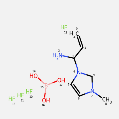 C=CC(N)N1C=CN(C)C1.F.F.F.F.OB(O)O